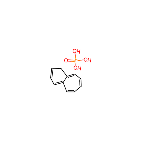 C1=CC=C2CC=CC=C2C=C1.O=P(O)(O)O